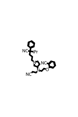 CC(C)C(C#N)(CCCN1CCC(N(CCC#N)CCOc2ccccc2C#N)C1)c1ccccc1